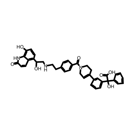 O=C(c1ccc(CCNCC(O)c2ccc(O)c3[nH]c(=O)ccc23)cc1)N1CC=C(c2cccc(C(O)(C(=O)O)c3ccccc3)c2)CC1